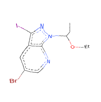 CCOC(C)n1nc(I)c2cc(Br)cnc21